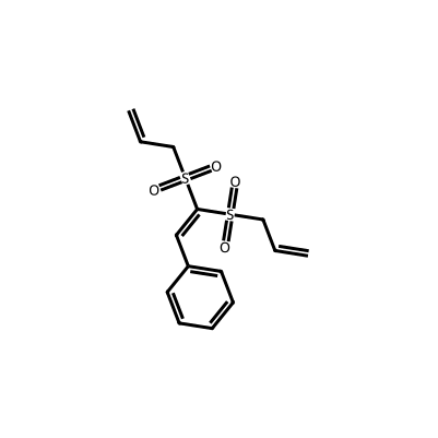 C=CCS(=O)(=O)C(=Cc1ccccc1)S(=O)(=O)CC=C